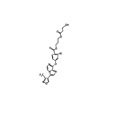 CCc1cc(Oc2nccn3c(-c4conc4C(F)(F)F)cnc23)ccc1C(=O)OCCCOC(=O)CCO